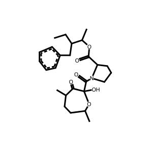 CCC(Cc1ccccc1)C(C)OC(=O)C1CCCN1C(=O)C1(O)OC(C)CCC(C)C1=O